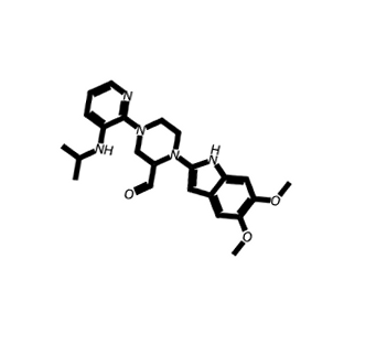 COc1cc2cc(N3CCN(c4ncccc4NC(C)C)CC3C=O)[nH]c2cc1OC